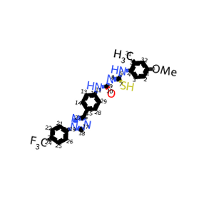 COc1ccc(N/C(S)=N/C(=O)Nc2ccc(-c3ncn(-c4ccc(C(F)(F)F)cc4)n3)cc2)c(C)c1